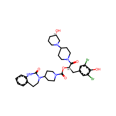 O=C(O[C@H](Cc1cc(Br)c(O)c(Br)c1)C(=O)N1CCC(N2CCC[C@H](O)C2)CC1)N1CCC(N2CCc3ccccc3NC2=O)CC1